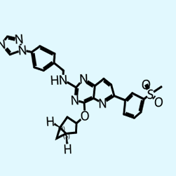 CS(=O)(=O)c1cccc(-c2ccc3nc(NCc4ccc(-n5cncn5)cc4)nc(OC4C[C@@H]5C[C@@H]5C4)c3n2)c1